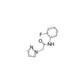 O=C(Cn1cc[c]n1)Nc1ccccc1F